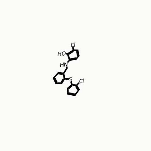 Oc1c(Cl)cccc1NCc1ccccc1Sc1ccccc1Cl